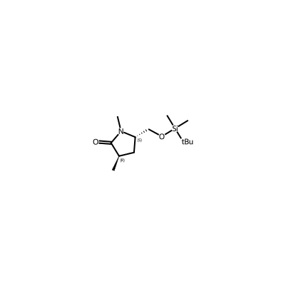 C[C@@H]1C[C@@H](CO[Si](C)(C)C(C)(C)C)N(C)C1=O